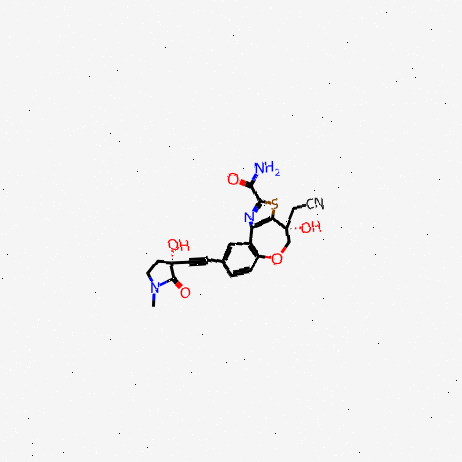 CN1CC[C@@](O)(C#Cc2ccc3c(c2)-c2nc(C(N)=O)sc2[C@@](O)(CC#N)CO3)C1=O